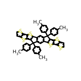 Cc1ccc(C2(c3ccc(C)cc3)c3cc4c(cc3-c3sc5c(sc6ccsc65)c32)C(c2ccc(C)cc2)(c2ccc(C)cc2)c2c-4sc3c2sc2ccsc23)cc1